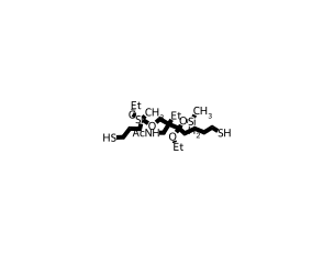 CCOC(CCCCS)(O[SiH2]C)C(CC)(CNC(C)=O)CO[Si](C)(CCCS)OCC